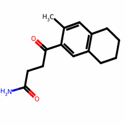 Cc1cc2c(cc1C(=O)CCC(N)=O)CCCC2